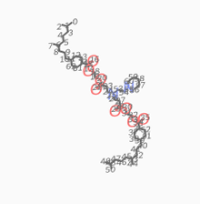 CC(C)CCCC(C)CCCC1CCC(C(=O)OCCOC(=O)CCN(CCC(=O)OCCOC(=O)C2CCC(CCCC(C)CCCC(C)C)CC2)CCN2CCCCC2)CC1